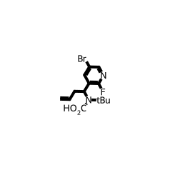 C=CCC(c1cc(Br)cnc1F)N(C(=O)O)C(C)(C)C